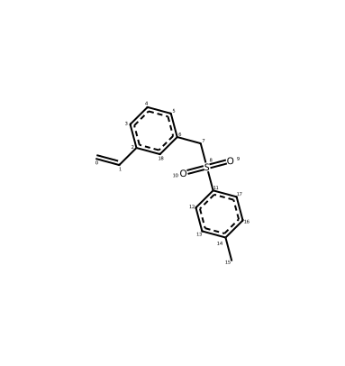 C=Cc1cccc(CS(=O)(=O)c2ccc(C)cc2)c1